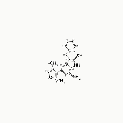 Cc1noc(C)c1-c1cc(N)c2[nH]c(=S)n(Cc3ccccc3)c2c1